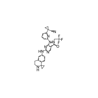 N#CC1(c2cccc(-n3c4nc(Nc5ccc6c(c5)CCNC65CC5)ncc4c(=O)n3CC(F)(F)F)n2)CC1